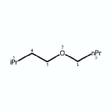 CCC[CH]OCCC(C)C